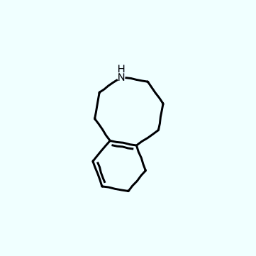 C1=CC2=C(CC1)CCCNCC2